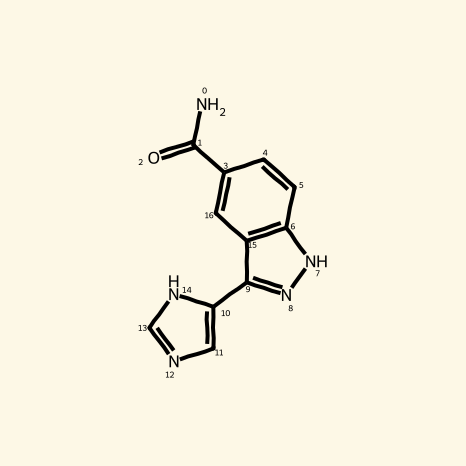 NC(=O)c1ccc2[nH]nc(-c3cnc[nH]3)c2c1